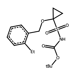 CCc1ccccc1COC1(S(=O)(=O)NC(=O)OC(C)(C)C)CC1